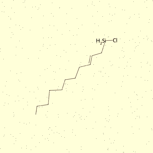 CCCCCCCCC=CC[SiH2]Cl